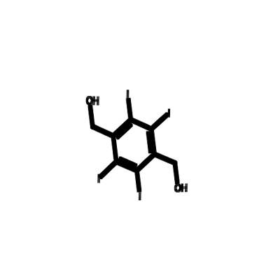 OCc1c(I)c(I)c(CO)c(I)c1I